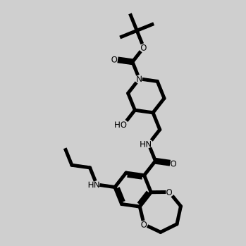 CCCNc1cc2c(c(C(=O)NCC3CCN(C(=O)OC(C)(C)C)CC3O)c1)OCCCO2